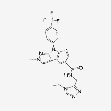 CCn1cnnc1CNC(=O)c1ccc2c(c1)c1cn(C)nc1n2-c1ccc(C(F)(F)F)cc1